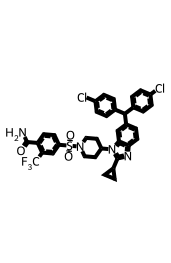 NC(=O)c1ccc(S(=O)(=O)N2CCC(n3c(C4CC4)nc4ccc(C(c5ccc(Cl)cc5)c5ccc(Cl)cc5)cc43)CC2)cc1C(F)(F)F